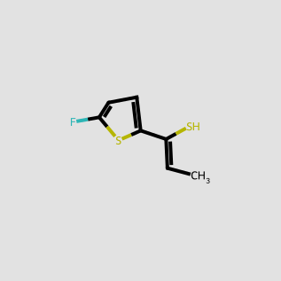 C/C=C(\S)c1ccc(F)s1